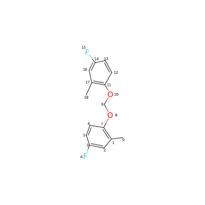 Cc1cc(F)ccc1OCOc1ccc(F)cc1C